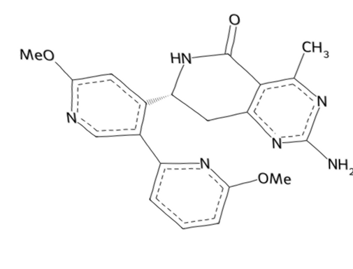 COc1cc([C@H]2Cc3nc(N)nc(C)c3C(=O)N2)c(-c2cccc(OC)n2)cn1